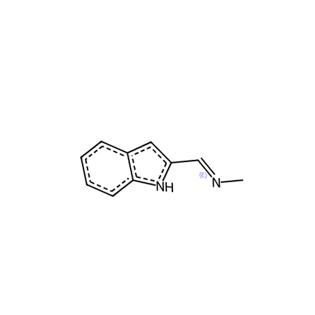 C/N=C/c1cc2ccccc2[nH]1